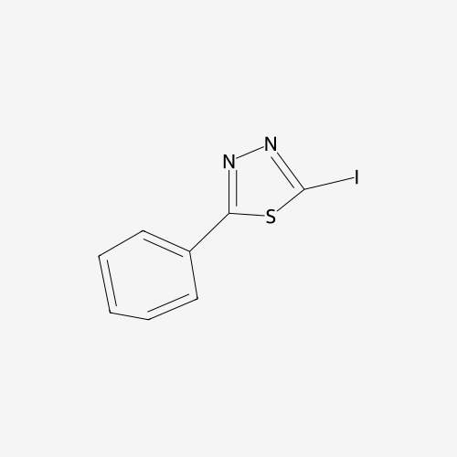 Ic1nnc(-c2ccccc2)s1